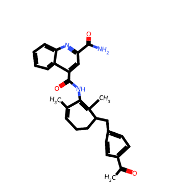 CC(=O)c1ccc(CC2CCC=C(C)C(NC(=O)c3cc(C(N)=O)nc4ccccc34)=C2C)cc1